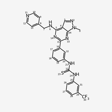 Cn1ncc2c(NCc3ccncc3)nc(-c3cccc(NC(=S)Nc4cccc(C(F)(F)F)c4)c3)nc21